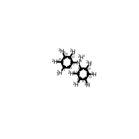 [2H]c1cc(N([2H])c2c([2H])c([2H])c([2H])c([2H])c2[2H])c([2H])c([2H])c1[2H]